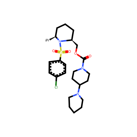 CC(C)[C@H]1CCC[C@@H](COC(=O)N2CCC(N3CCCCC3)CC2)N1S(=O)(=O)c1ccc(Cl)cc1